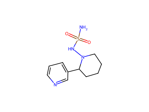 NS(=O)(=O)NN1CCCCC1c1cccnc1